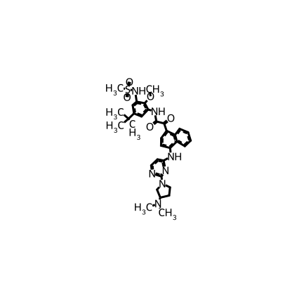 COc1c(NC(=O)C(=O)c2ccc(Nc3ccnc(N4CCC(N(C)C)C4)n3)c3ccccc23)cc(C(C)(C)C)cc1NS(C)(=O)=O